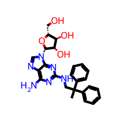 CC(CNc1nc(N)c2ncn([C@@H]3O[C@H](CO)[C@@H](O)[C@H]3O)c2n1)(c1ccccc1)c1ccccc1